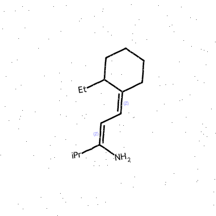 CCC1CCCC/C1=C/C=C(\N)C(C)C